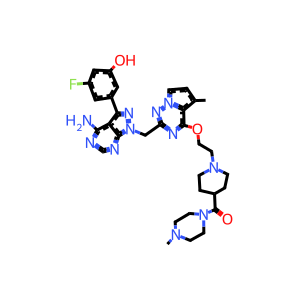 Cc1ccn2nc(Cn3nc(-c4cc(O)cc(F)c4)c4c(N)ncnc43)nc(OCCN3CCC(C(=O)N4CCN(C)CC4)CC3)c12